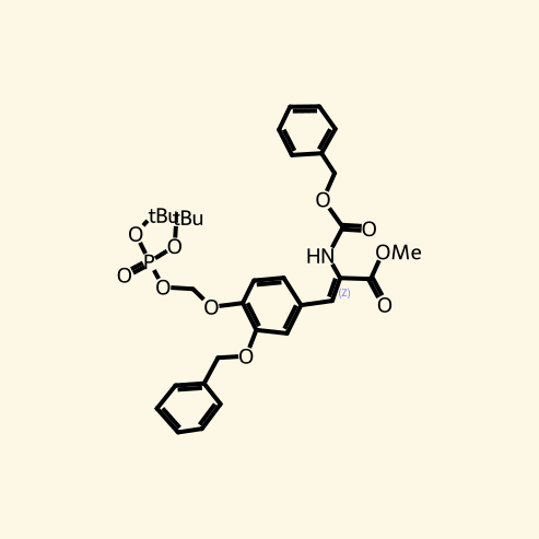 COC(=O)/C(=C/c1ccc(OCOP(=O)(OC(C)(C)C)OC(C)(C)C)c(OCc2ccccc2)c1)NC(=O)OCc1ccccc1